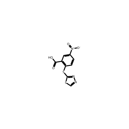 O=C(O)c1cc([N+](=O)[O-])ccc1Sc1nncs1